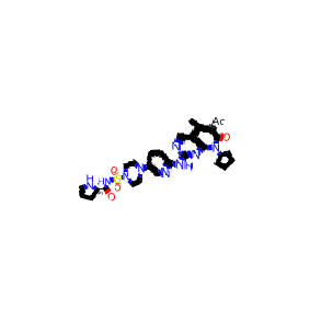 CC(=O)c1c(C)c2cnc(Nc3ccc(N4CCN(S(=O)(=O)NC(=O)[C@H]5CCCN5)CC4)cn3)nc2n(C2CCCC2)c1=O